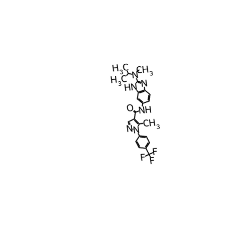 Cc1c(C(=O)Nc2ccc3nc(N(C)C(C)C)[nH]c3c2)cnn1-c1ccc(C(F)(F)F)cc1